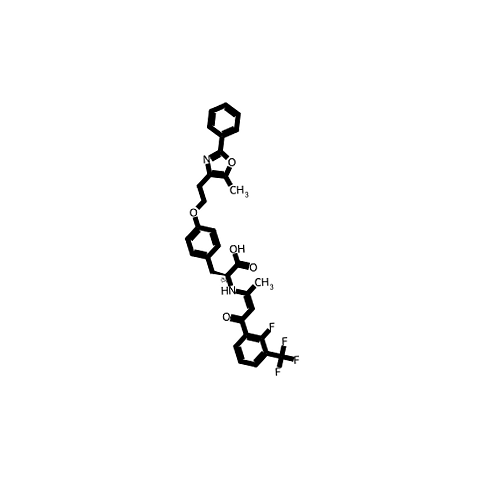 CC(=CC(=O)c1cccc(C(F)(F)F)c1F)N[C@@H](Cc1ccc(OCCc2nc(-c3ccccc3)oc2C)cc1)C(=O)O